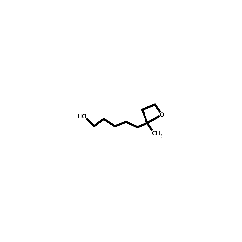 CC1(CCCCCO)CCO1